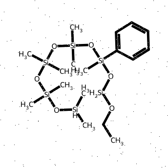 CCO[SiH2]O[Si](C)(O[Si](C)(C)O[Si](C)(C)O[Si](C)(C)O[SiH](C)C)c1ccccc1